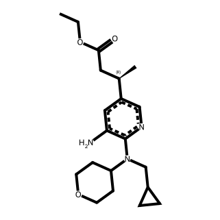 CCOC(=O)C[C@@H](C)c1cnc(N(CC2CC2)C2CCOCC2)c(N)c1